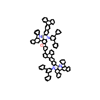 c1ccc(-c2cc(-c3ccccc3)cc(N3c4cc5cc6c(cc5cc4B4c5c3cc3ccccc3c5-c3cc5ccccc5c5c7ccccc7n4c35)c3ccccc3c3c(-c4ccc5c(c4)oc4c7c8c(cc45)N(c4cc(-c5ccccc5)cc(-c5ccccc5)c4)c4cc5cc9c%10ccccc%10c%10ccccc%10c9cc5cc4B8n4c5ccccc5c5c8ccccc8cc-7c54)cccc63)c2)cc1